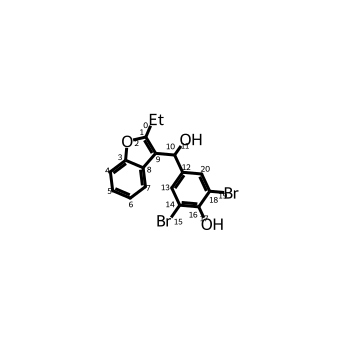 CCc1oc2ccccc2c1C(O)c1cc(Br)c(O)c(Br)c1